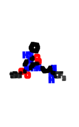 CC(C)(C)OC(=O)N1CCN(C(=O)NC2CCCCC2)[C@@H](C(=O)NCCc2cnc(C(F)(F)F)[nH]2)C1